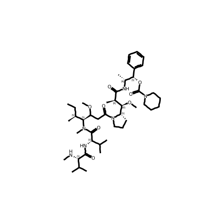 CC[C@H](C)[C@@H](C(CC(=O)N1CCC[C@H]1[C@H](OC)[C@@H](C)C(=O)N[C@H](C)[C@@H](OC(=O)N1CCCCC1)c1ccccc1)OC)N(C)C(=O)[C@@H](NC(=O)[C@@H](NC)C(C)C)C(C)C